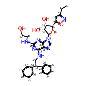 CCc1cc([C@H]2O[C@@H](n3cnc4c(NCC(c5ccccc5)c5ccccc5)nc(NCCO)nc43)[C@H](O)[C@@H]2O)on1